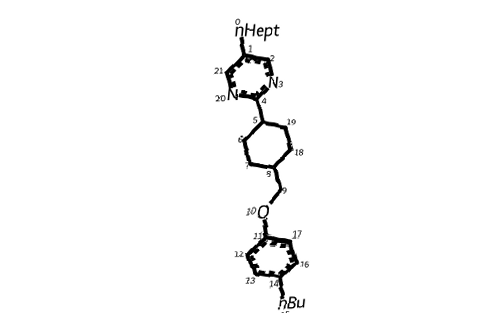 CCCCCCCc1cnc(C2CCC(COc3ccc(CCCC)cc3)CC2)nc1